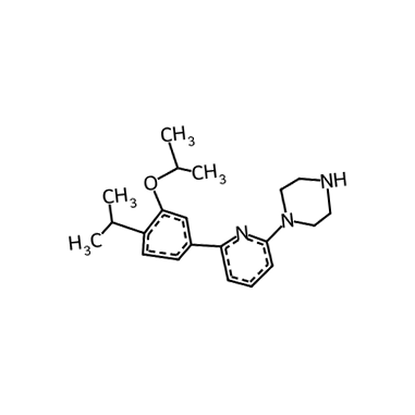 CC(C)Oc1cc(-c2cccc(N3CCNCC3)n2)ccc1C(C)C